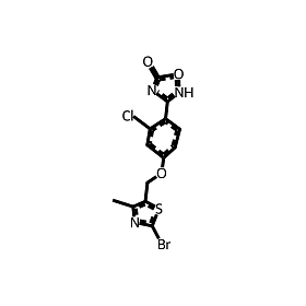 Cc1nc(Br)sc1COc1ccc(-c2nc(=O)o[nH]2)c(Cl)c1